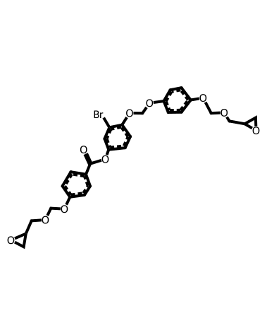 O=C(Oc1ccc(OCOc2ccc(OCOCC3CO3)cc2)c(Br)c1)c1ccc(OCOCC2CO2)cc1